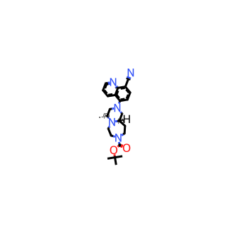 C[C@@H]1CN(c2ccc(C#N)c3ncccc23)C[C@@H]2CCN(C(=O)OC(C)(C)C)CCN21